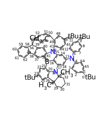 CC(C)(C)c1ccc(N(c2ccc(C(C)(C)C)cc2)c2cc3c4c(c2)N2c5c(cc(C(C)(C)C)cc5C5(C)CCCCC25C)B4c2cc4c5cc2N3c2ccc(C(C)(C)C)cc2-c2ccc(cc2)C5(C)c2ccccc2-4)cc1